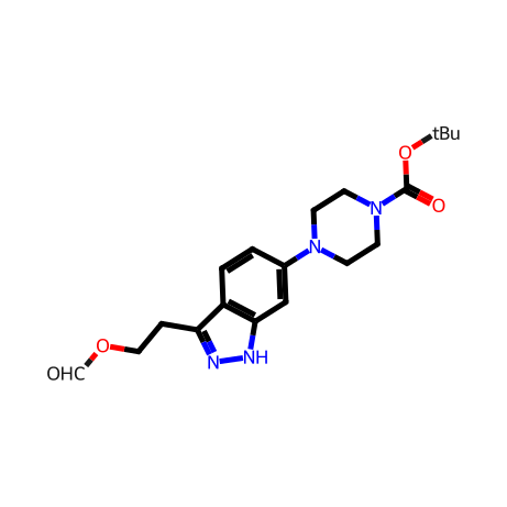 CC(C)(C)OC(=O)N1CCN(c2ccc3c(CCOC=O)n[nH]c3c2)CC1